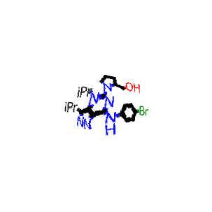 CC(C)c1nnc2c(Nc3ccc(Br)cc3)nc(N3CCCC3CO)n(C(C)C)c1-2